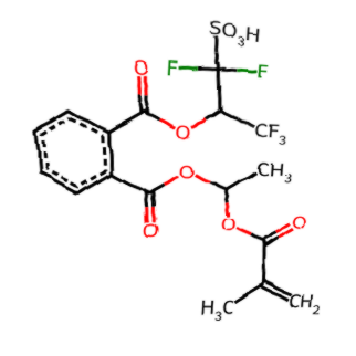 C=C(C)C(=O)OC(C)OC(=O)c1ccccc1C(=O)OC(C(F)(F)F)C(F)(F)S(=O)(=O)O